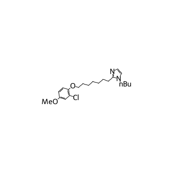 CCCCn1ccnc1CCCCCCCOc1ccc(OC)cc1Cl